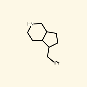 CC(C)CC1CCC2CNCCC21